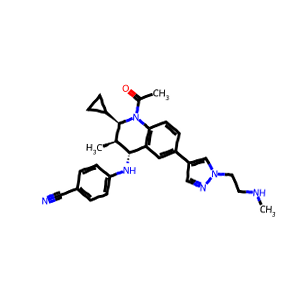 CNCCn1cc(-c2ccc3c(c2)[C@H](Nc2ccc(C#N)cc2)[C@@H](C)[C@@H](C2CC2)N3C(C)=O)cn1